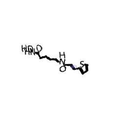 O=C(/C=C/c1cccs1)NCCCCCC(=O)NO